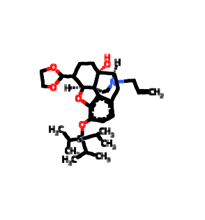 C=CCN1CC[C@]23c4c5ccc(O[Si](C(C)C)(C(C)C)C(C)C)c4O[C@H]2C(C2OCCO2)CC[C@@]3(O)[C@H]1C5